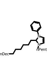 CCCCCCCCCCCCCCCCC1N(CCCCC)C=CN1c1ccccc1